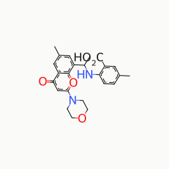 Cc1ccc(NC(C)c2cc(C)cc3c(=O)cc(N4CCOCC4)oc23)c(C(=O)O)c1